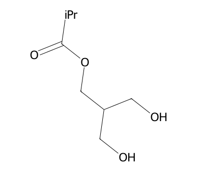 CC(C)C(=O)OCC(CO)CO